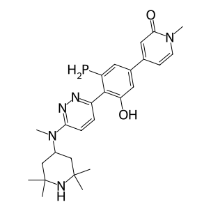 CN(c1ccc(-c2c(O)cc(-c3ccn(C)c(=O)c3)cc2P)nn1)C1CC(C)(C)NC(C)(C)C1